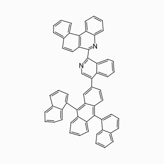 c1ccc2c(-c3c4ccccc4c(-c4cccc5ccccc45)c4cc(-c5cnc(-c6nc7ccccc7c7c6ccc6ccccc67)c6ccccc56)ccc34)cccc2c1